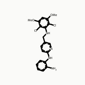 COc1cc(OC)c(Cl)c(NCc2ccc(Nc3ccccc3N)nc2)c1Cl